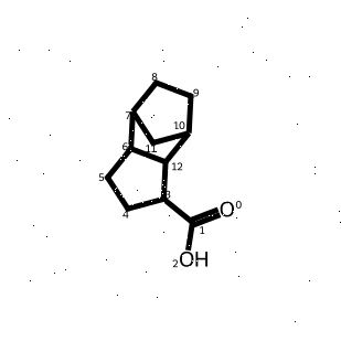 O=C(O)C1CCC2C3CCC(C3)C12